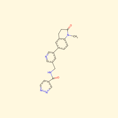 CN1C(=O)CCc2cc(-c3cncc(CNC(=O)c4ccnnc4)c3)ccc21